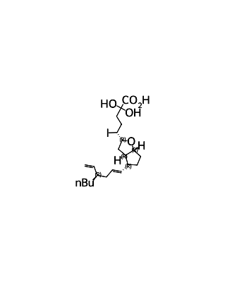 C=C[C@@H](CC=C[C@H]1CC[C@H]2O[C@@H](C(I)CCC(O)(O)C(=O)O)C[C@H]12)CCCC